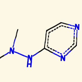 CN(C)Nc1ccncn1